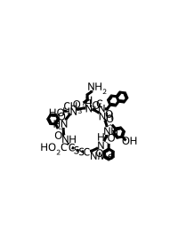 CN[C@@H]1CSSC[C@@H](C(=O)O)NC(=O)[C@H](Cc2ccccc2)NC(=O)[C@H](C(C)O)NC(=O)[C@H](CCCCN)NC(=O)[C@@H](N(C)C(=O)c2ccc3ccccc3c2)NC(=O)[C@H](Cc2ccc(O)cc2)NC(=O)[C@H](Cc2ccccc2)NC1=O